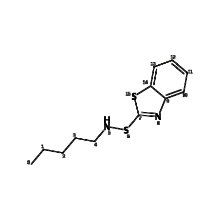 CCCCCNSc1nc2ccccc2s1